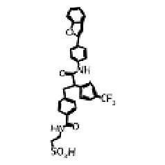 O=C(NCCS(=O)(=O)O)c1ccc(CC(C(=O)Nc2ccc(-c3cc4ccccc4o3)cc2)c2ccc(C(F)(F)F)cc2)cc1